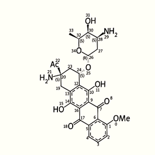 COc1cccc2c1C(=O)c1c(O)c3c(c(O)c1C2=O)C[C@@](N)(C(C)=O)C[C@@H]3O[C@H]1C[C@H](N)[C@H](O)[C@H](C)O1